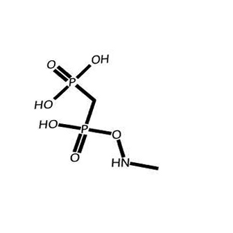 CNOP(=O)(O)CP(=O)(O)O